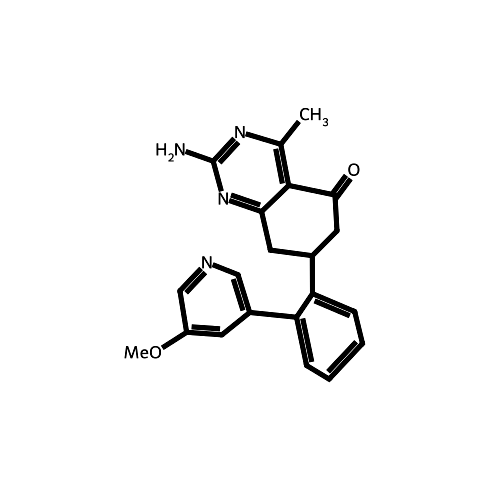 COc1cncc(-c2ccccc2C2CC(=O)c3c(C)nc(N)nc3C2)c1